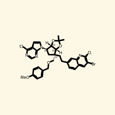 COc1ccc(COC[C@]2(CCc3ccc4cc(Br)c(Cl)nc4c3)C[C@@H](n3ccc4c(Cl)ncnc43)[C@@H]3OC(C)(C)O[C@@H]32)cc1